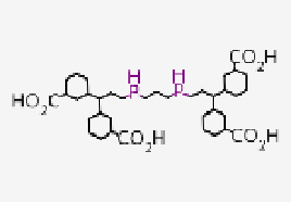 O=C(O)C1CCCC(C(CCPCCCPCCC(C2CCCC(C(=O)O)C2)C2CCCC(C(=O)O)C2)C2CCCC(C(=O)O)C2)C1